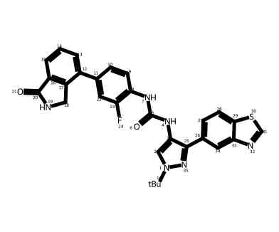 CC(C)(C)n1cc(NC(=O)Nc2ccc(-c3cccc4c3CNC4=O)cc2F)c(-c2ccc3scnc3c2)n1